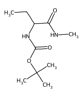 CCC(NC(=O)OC(C)(C)C)C(=O)NC